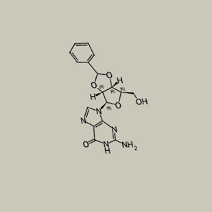 Nc1nc2c(ncn2[C@@H]2O[C@H](CO)[C@H]3OC(c4ccccc4)O[C@H]32)c(=O)[nH]1